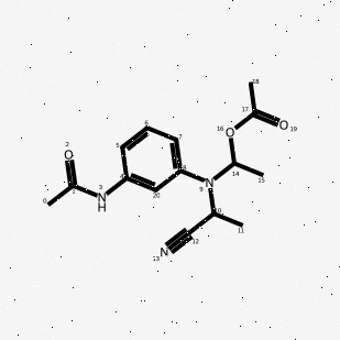 CC(=O)Nc1cccc(N(C(C)C#N)C(C)OC(C)=O)c1